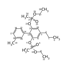 CCCc1cc(OP(C)(=O)OCC)c(-c2cccc(C)c2)c(OP(C)(=O)OCC)c1